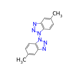 Cc1ccc2c(c1)nnn2-n1nnc2cc(C)ccc21